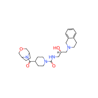 O=C(NC[C@@H](O)CN1CCc2ccccc2C1)N1CCC(C(=O)N2C3CCC2COC3)CC1